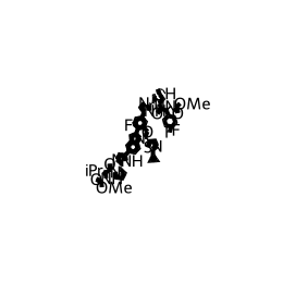 COC(=O)NC(C(=O)N1CCC[C@H]1c1ncc(-c2ccc3c(c2)cc2n3[C@H](c3cnc(C4CC4)s3)Oc3cc(-c4cnc([C@@H]5CS(C)(C)CN5C(=O)[C@@H](NC(=O)OC)C5CCC(F)(F)CC5)[nH]4)cc(F)c3-2)[nH]1)C(C)C